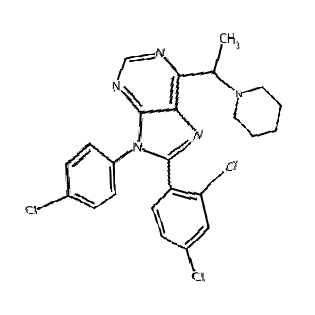 CC(c1ncnc2c1nc(-c1ccc(Cl)cc1Cl)n2-c1ccc(Cl)cc1)N1CCCCC1